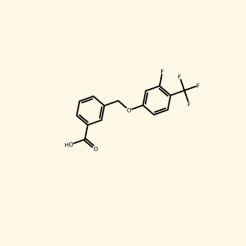 O=C(O)c1cccc(COc2ccc(C(F)(F)F)c(F)c2)c1